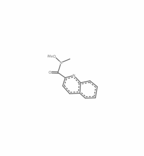 CON(C)C(=O)c1ccc2ccccc2n1